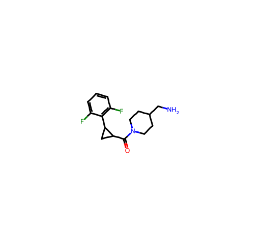 NCC1CCN(C(=O)C2CC2c2c(F)cccc2F)CC1